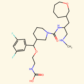 CNCC(CC1CCCCOC1)NC(=O)N1CCCC(C(OCCNC(=O)O)c2cc(F)cc(F)c2)C1